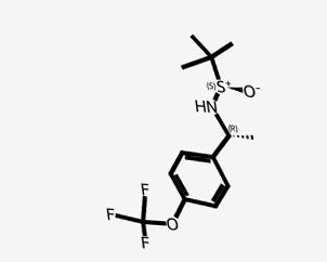 C[C@@H](N[S@+]([O-])C(C)(C)C)c1ccc(OC(F)(F)F)cc1